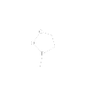 CP1CCOO1